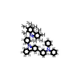 [2H]c1c([2H])c([2H])c2c(c1[2H])c1c([2H])c([2H])c([2H])c([2H])c1n2-c1cccc(-n2c3ccccc3c3cc(-c4cccc(N(c5ccccc5)c5ccccc5)c4)ccc32)c1